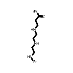 CC(C)NCCNCCNCCC(=O)C(C)C